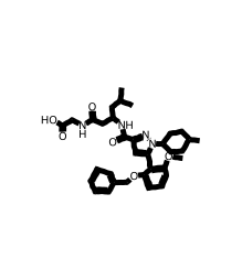 COc1cccc(OCc2ccccc2)c1-c1cc(C(=O)NC(CC(=O)NCC(=O)O)CC(C)C)nn1C1CCC(C)CC1